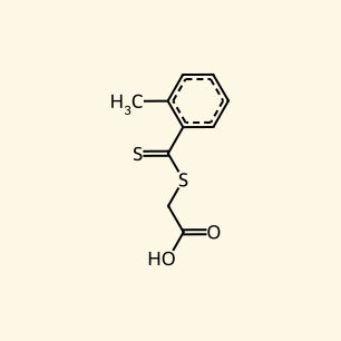 Cc1ccccc1C(=S)SCC(=O)O